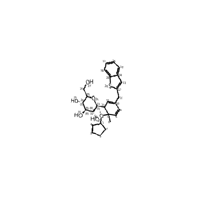 CC1(OC2CCCC2)C=CC(Cc2cc3ccccc3s2)=CC1[C@@H]1OC(CO)[C@@H](O)[C@H](O)[C@H]1O